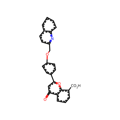 O=C(O)c1cccc2c(=O)cc(-c3ccc(OCc4ccc5ccccc5n4)cc3)oc12